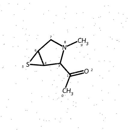 CC(=O)C1C2SC2CN1C